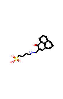 O=C1C(CNCCCCS(=O)(=O)O)=Cc2cccc3cccc1c23